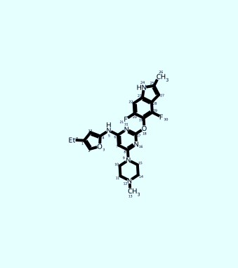 CCc1coc(Nc2cc(N3CCN(C)CC3)nc(Oc3c(F)cc4[nH]c(C)cc4c3F)n2)c1